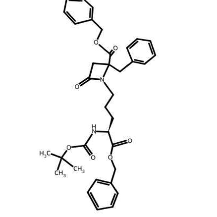 CC(C)(C)OC(=O)N[C@@H](CCCN1C(=O)CC1(Cc1ccccc1)C(=O)OCc1ccccc1)C(=O)OCc1ccccc1